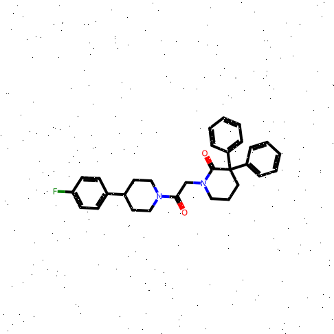 O=C(CN1CCCC(c2ccccc2)(c2ccccc2)C1=O)N1CCC(c2ccc(F)cc2)CC1